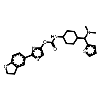 CN(C)C(c1cccs1)C1CCC(NC(=O)Oc2csc(-c3ccc4c(c3)CCO4)n2)CC1